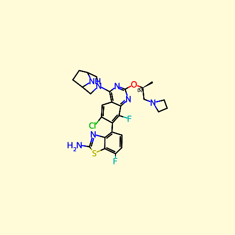 C[C@@H](CN1CCC1)Oc1nc(N2CC3CCC(C2)N3)c2cc(Cl)c(-c3ccc(F)c4sc(N)nc34)c(F)c2n1